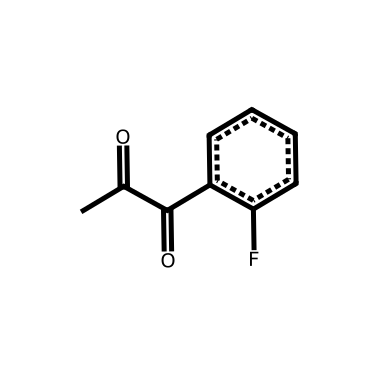 CC(=O)C(=O)c1ccccc1F